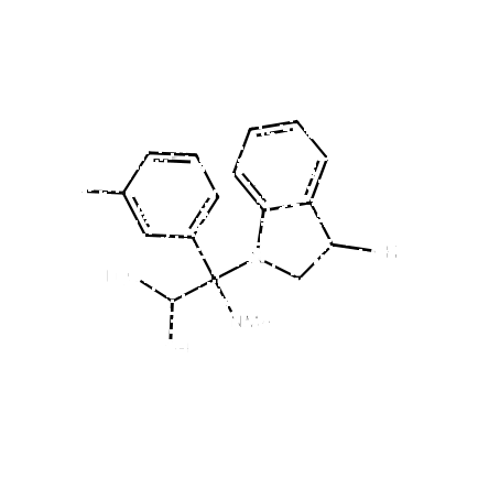 CNC(c1cccc(F)c1)(C(C)O)N1CC(C)c2ccccc21